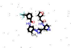 Cc1ccc(NC(=O)c2cccc(C(F)(F)F)c2)cc1-n1cc(-c2cnccc2NC(=O)CC2CCOC2)cn1